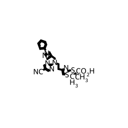 CC(C)(Sc1nc(CCN(Cc2cnn(-c3ccccc3)c2)c2ncc(C#N)cn2)cs1)C(=O)O